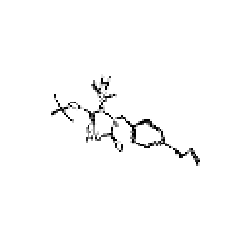 C=CCc1ccc(C[C@@H](C(=O)O)N(C(=O)OC(C)(C)C)[SiH](C)C)cc1